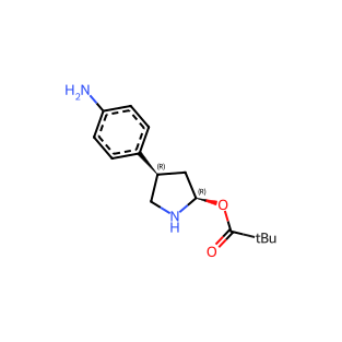 CC(C)(C)C(=O)O[C@@H]1C[C@H](c2ccc(N)cc2)CN1